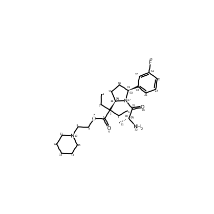 CCC(CC)(C(=O)OCCN1CCCCC1)[C@H]1CC[C@@H](c2cccc(F)c2)N1C(=O)[C@@H](C)N